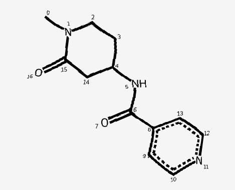 CN1CCC(NC(=O)c2[c]cncc2)CC1=O